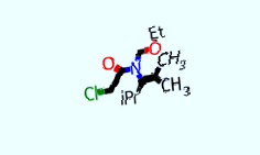 CCOCN(C(=O)CCl)C(=C(C)C)C(C)C